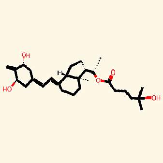 C=C1[C@H](O)CC(=C/C=C2\CCC[C@]3(C)[C@@H]([C@H](C)OC(=O)CCCC(C)(C)O)CC[C@@H]23)C[C@H]1O